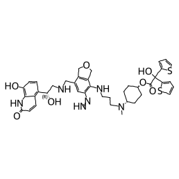 CN(CCCNc1c(N=N)cc(CNC[C@H](O)c2ccc(O)c3[nH]c(=O)ccc23)c2c1COC2)[C@H]1CC[C@H](OC(=O)C(O)(c2cccs2)c2cccs2)CC1